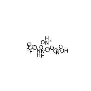 NC=O.O=C(Nc1ccc(Oc2ccnc(C(=O)O)c2)cc1)Nc1ccc(Cl)c(C(F)(F)F)c1